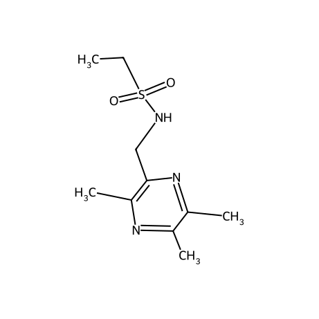 CCS(=O)(=O)NCc1nc(C)c(C)nc1C